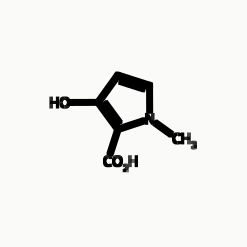 Cn1ccc(O)c1C(=O)O